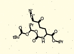 CC(C)OC(=O)C(CCC(=O)C=[N+]=[N-])NC(=O)OC(OC(=O)C(C)(C)C)C(C)C